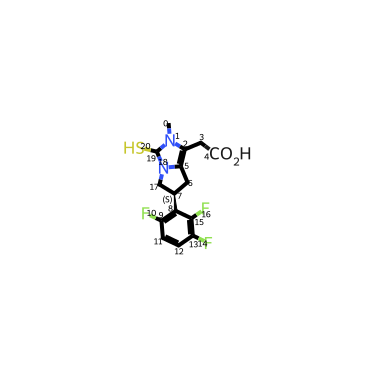 CN1C(CC(=O)O)=C2C[C@@H](c3c(F)ccc(F)c3F)CN2C1S